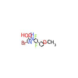 CCOc1cccc(-c2cc(F)c(Nc3ncc(Br)cc3C(=O)O)cc2F)c1